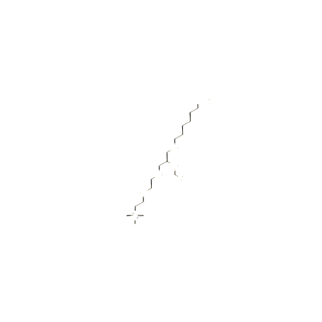 CCCCCCCCCCCCCCCCOCC(COCCOCC[N+](C)(C)C)OCC(C)=O.[Cl-]